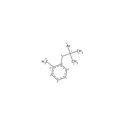 CC(=O)C(C)(C)Cc1ccccc1C